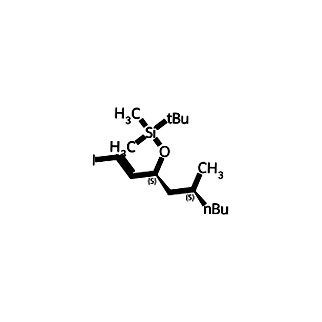 CCCC[C@H](C)C[C@@H](C=CI)O[Si](C)(C)C(C)(C)C